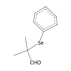 CC(C)(C=O)[Se]c1ccccc1